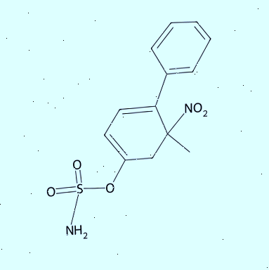 CC1([N+](=O)[O-])CC(OS(N)(=O)=O)=CC=C1c1ccccc1